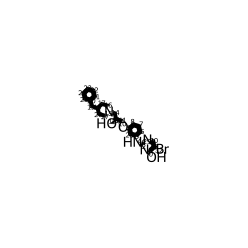 Oc1nc(Nc2cccc(OC[C@@H](O)CN3CCC(Cc4ccccc4)CC3)c2)ncc1Br